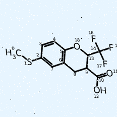 CSc1ccc2c(c1)CC(C(=O)O)C(C(F)(F)F)O2